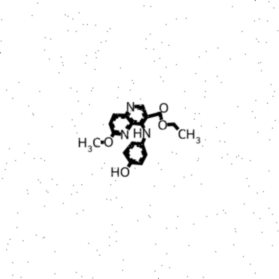 CCOC(=O)c1cnc2ccc(OC)nc2c1Nc1ccc(O)cc1